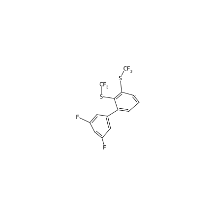 Fc1cc(F)cc(-c2cc[c]c(SC(F)(F)F)c2SC(F)(F)F)c1